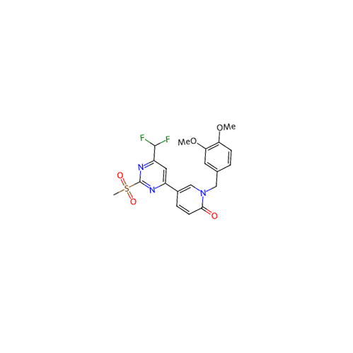 COc1ccc(Cn2cc(-c3cc(C(F)F)nc(S(C)(=O)=O)n3)ccc2=O)cc1OC